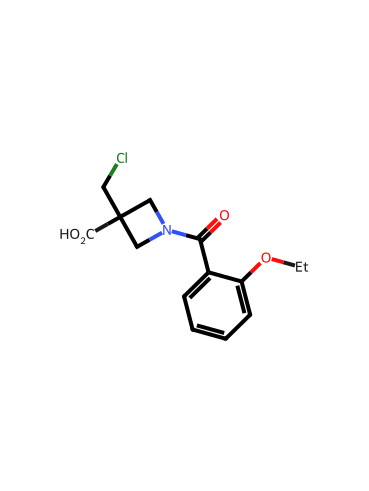 CCOc1ccccc1C(=O)N1CC(CCl)(C(=O)O)C1